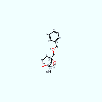 c1ccc(COC[C@@]23CCO[C@H](CO2)C3)cc1